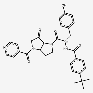 CC(C)(C)c1ccc(C(=O)N[C@@H](Cc2ccc(O)cc2)C(=O)N2CCC3C2C(=O)CN3C(=O)c2ccncc2)cc1